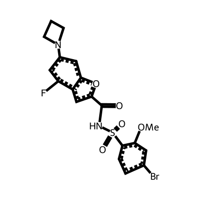 COc1cc(Br)ccc1S(=O)(=O)NC(=O)c1cc2c(F)cc(N3CCC3)cc2o1